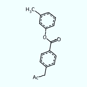 CC(=O)Cc1ccc(C(=O)Oc2cccc(C)c2)cc1